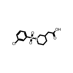 O=C(O)CC1CCCN(S(=O)(=O)c2cccc(Cl)c2)C1